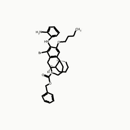 CCCCOc1cc2c(c(Br)c1Nc1ccccc1N)C[C@H]1C3CCCC[C@@]23CCCN1C(=O)OCc1ccccc1